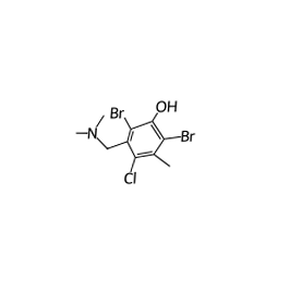 Cc1c(Cl)c(CN(C)C)c(Br)c(O)c1Br